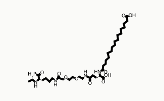 CCN[C@@H](CCCCNC(=O)COCCOCCNC(=O)CC[C@H](NC(=O)CCCCCCCCCCCCCCCCC(=O)O)C(=O)O)C(=O)P